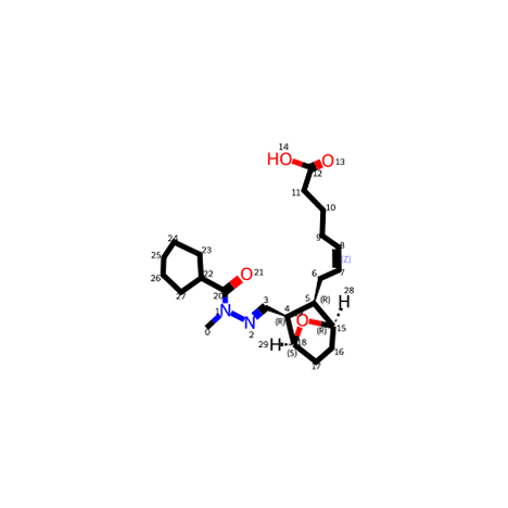 CN(N=C[C@H]1[C@@H](C/C=C\CCCC(=O)O)[C@H]2CC[C@@H]1O2)C(=O)C1CCCCC1